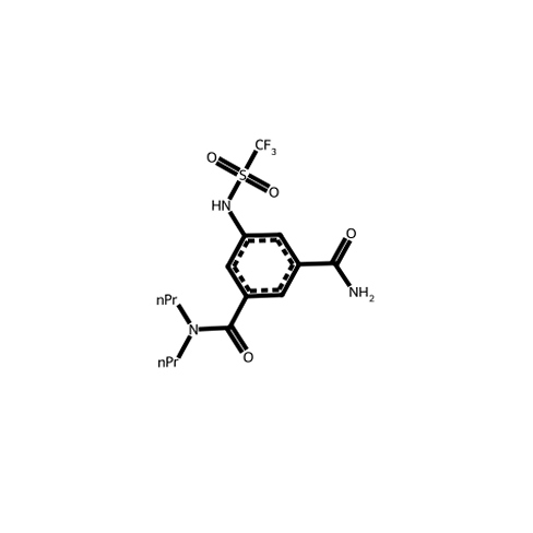 CCCN(CCC)C(=O)c1cc(NS(=O)(=O)C(F)(F)F)cc(C(N)=O)c1